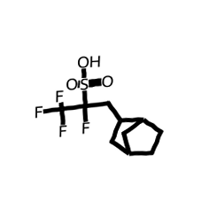 O=S(=O)(O)C(F)(CC1CC2CCC1C2)C(F)(F)F